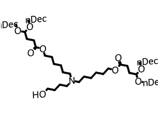 CCCCCCCCCCOC(CCC(=O)OCCCCCCN(CCCCO)CCCCCCOC(=O)CCC(OCCCCCCCCCC)OCCCCCCCCCC)OCCCCCCCCCC